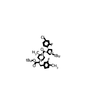 Cc1ccc(C[C@@H](C(=O)OC(C)(C)C)N2CCN(C(=O)[C@@H]3CN(C(C)(C)C)C[C@H]3c3ccc(Cl)cc3F)[C@@H](C)C2)cc1F